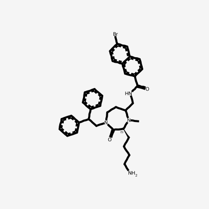 CN1C(CNC(=O)c2ccc3cc(Br)ccc3c2)CCN(CC(c2ccccc2)c2ccccc2)C(=O)[C@@H]1CCCCN